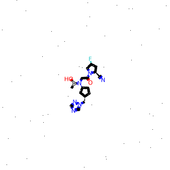 CB(O)N(CC(=O)N1C[C@@H](F)C[C@H]1C#N)[C@@H]1CC[C@H](Cn2cncn2)C1